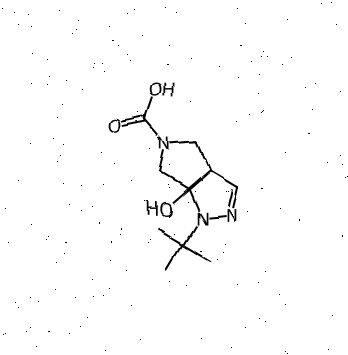 CC(C)(C)N1N=CC2CN(C(=O)O)CC21O